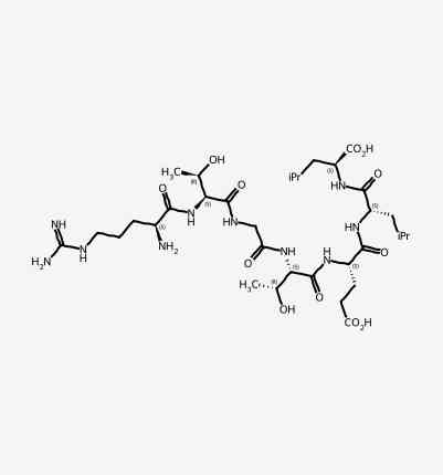 CC(C)C[C@H](NC(=O)[C@H](CC(C)C)NC(=O)[C@H](CCC(=O)O)NC(=O)[C@@H](NC(=O)CNC(=O)[C@@H](NC(=O)[C@@H](N)CCCNC(=N)N)[C@@H](C)O)[C@@H](C)O)C(=O)O